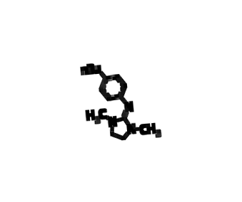 CCCCc1ccc(N=C2N(C)CCN2C)cc1